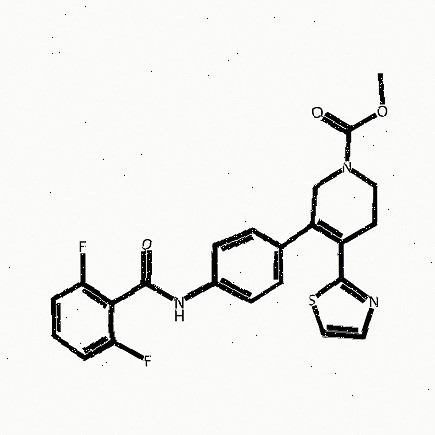 COC(=O)N1CCC(c2nccs2)=C(c2ccc(NC(=O)c3c(F)cccc3F)cc2)C1